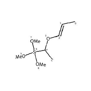 CC=COC(C)[Si](OC)(OC)OC